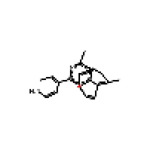 C/C=C(\C=C/N)c1nc(C)nc(C2=C(/C)C/C=C\C/C=C\2)n1